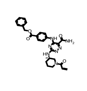 C=CC(=O)N1CCC[C@@H](Nc2nnc(C(N)=O)c(Nc3ccc(C(=O)OCc4ccccc4)cc3)n2)C1